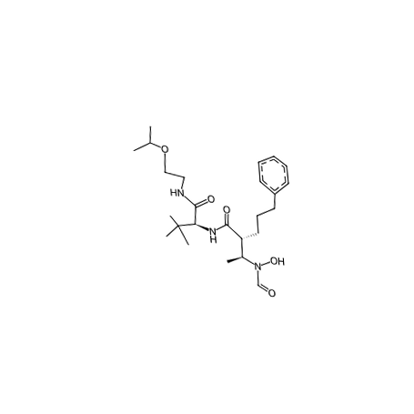 CC(C)OCCNC(=O)[C@@H](NC(=O)[C@H](CCCc1ccccc1)[C@H](C)N(O)C=O)C(C)(C)C